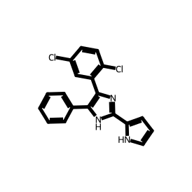 Clc1ccc(Cl)c(-c2nc(-c3ccc[nH]3)[nH]c2-c2ccccc2)c1